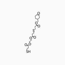 O=C(CCS)OCCOC(=O)CCSCCC(=O)OCC1CCC2OC2C1